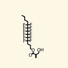 C=C(CO)C(=O)OCCCC(F)(F)C(F)(F)C(F)(F)C(F)(F)C(F)(F)C(F)(F)CCCC